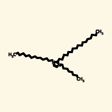 CCCCCCCCCCCCCCCCCc1n(CCCCCCCCCCCCCC)cc[n+]1CCCCCCCC